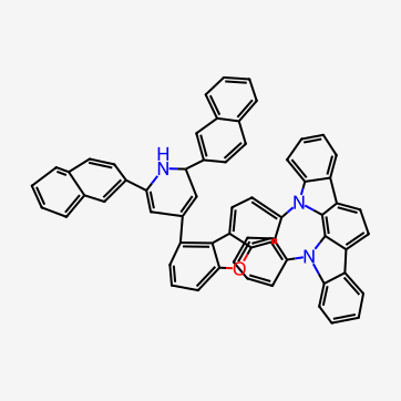 C1=C(c2ccc3ccccc3c2)NC(c2ccc3ccccc3c2)C=C1c1cccc2oc3cc(-n4c5ccccc5c5ccc6c7ccccc7n(-c7ccccc7)c6c54)ccc3c12